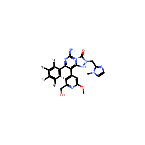 [2H]c1c([2H])c([2H])c(-c2nc(N)[n+]3c(=O)n(Cc4nccn4C)[nH]c3c2-c2cc(CO)nc(OC)c2)c([2H])c1[2H]